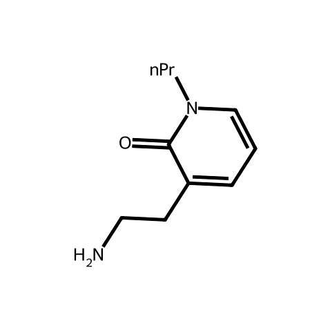 CCCn1cccc(CCN)c1=O